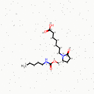 CCCCCNC(=O)OC[C@H]1CCC(=O)N1CCCCCCC(=O)O